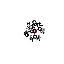 C[SiH](C)[Zr]([Cl])([Cl])([CH]1C(CC23CC4CC(CC(C4)C2)C3)=Cc2c(-c3cc(C(F)(F)F)cc(C(F)(F)F)c3)cccc21)[CH]1C(CC23CC4CC(CC(C4)C2)C3)=Cc2c(-c3cc(C(F)(F)F)cc(C(F)(F)F)c3)cccc21